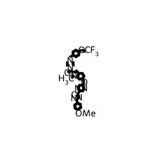 COc1ccc(-c2noc(-c3cnc(Oc4ccc5cc(C(=O)N6CCN(Cc7ccc(OCC(F)(F)F)cc7)CC6)n(C)c5c4)cn3)n2)cc1